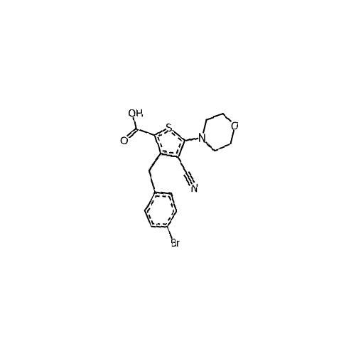 N#Cc1c(N2CCOCC2)sc(C(=O)O)c1Cc1ccc(Br)cc1